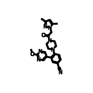 COc1ncc(-c2cc(C#N)ccc2N2CCN(C(=O)Cn3nc(C)cc3C)CC2)cn1